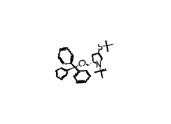 CC(C)(C)S[C@@H]1C[C@@H](COC(c2ccccc2)(c2ccccc2)c2ccccc2)N(C(C)(C)C)C1